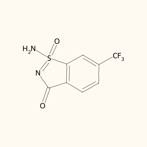 NS1(=O)=NC(=O)c2ccc(C(F)(F)F)cc21